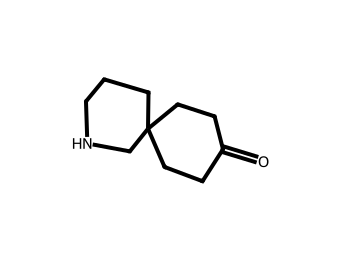 O=C1CCC2(CCCNC2)CC1